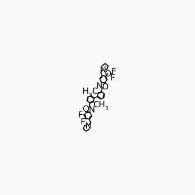 Cc1c(-c2nc3cc(CN4CCCC4)c(OC(F)F)cc3o2)cccc1-c1cccc(-c2nc3cc(CN4CCCC4)c(F)c(F)c3o2)c1C